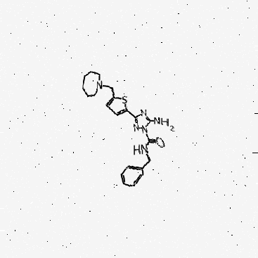 Nc1nc(-c2ccc(CN3CCCCCC3)s2)nn1C(=O)NCc1ccccc1